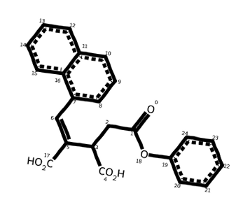 O=C(CC(C(=O)O)C(=Cc1cccc2ccccc12)C(=O)O)Oc1ccccc1